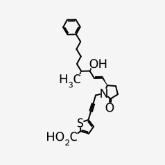 C[C@@H](CCCCc1ccccc1)[C@@H](O)C=C[C@H]1CCC(=O)N1CC#Cc1ccc(C(=O)O)s1